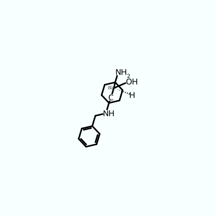 NC12CCC(NCc3ccccc3)(CC1)C[C@@H]2O